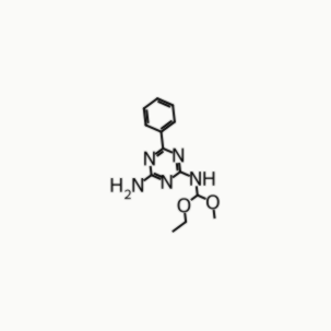 CCOC(Nc1nc(N)nc(-c2ccccc2)n1)OC